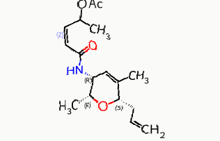 C=CC[C@@H]1O[C@H](C)[C@H](NC(=O)/C=C\C(C)OC(C)=O)C=C1C